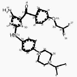 CC(C)N1CCN(c2ccc(Nc3nc(N)c(C(=O)c4ccc(OCC(F)F)cc4)s3)cc2)CC1